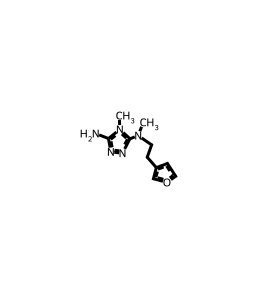 CN(CCc1ccoc1)c1nnc(N)n1C